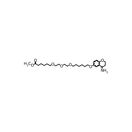 COC(=O)CCCCCOCCOCCOCCCCCCOc1ccc2c(c1)[C@H](N)CCO2